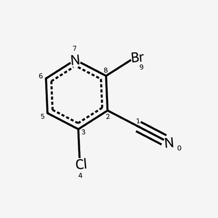 N#Cc1c(Cl)ccnc1Br